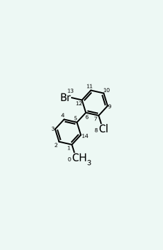 Cc1cccc(-c2c(Cl)cccc2Br)c1